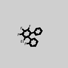 CCc1c(F)c(F)c(F)c(-c2ccccc2)c1-c1ccccc1F